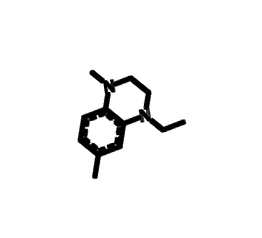 CCN1CCN(C)c2ccc(C)cc21